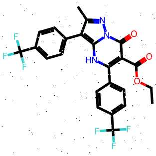 CCOC(=O)c1c(-c2ccc(C(F)(F)F)cc2)[nH]c2c(-c3ccc(C(F)(F)F)cc3)c(C)nn2c1=O